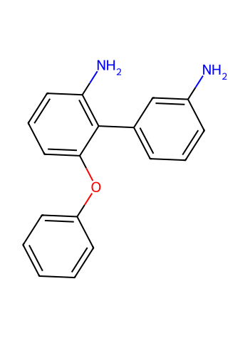 Nc1cccc(-c2c(N)cccc2Oc2ccccc2)c1